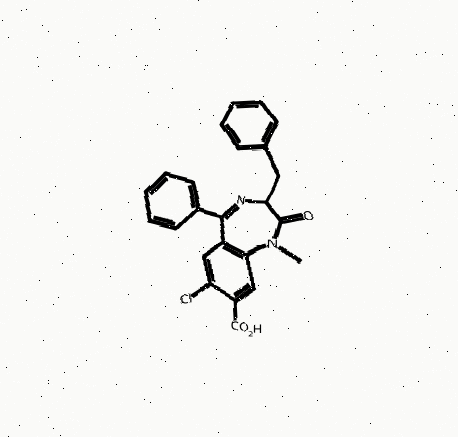 CN1C(=O)C(Cc2ccccc2)N=C(c2ccccc2)c2cc(Cl)c(C(=O)O)cc21